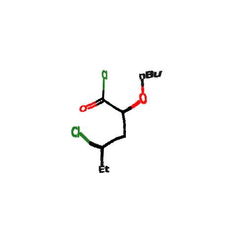 CCCCOC(CC(Cl)CC)C(=O)Cl